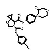 O=C(Nc1ccc(N2CCOCC2=O)cc1)C1N(C(=O)Nc2ccc(Cl)cc2)COC12CC2